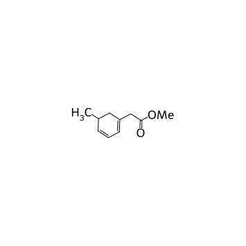 COC(=O)CC1=CC=CC(C)C1